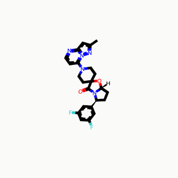 Cc1cc2nccc(N3CCC4(CC3)O[C@@H]3CC[C@@H](c5cc(F)cc(F)c5)N3C4=O)n2n1